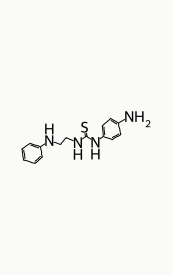 Nc1ccc(NC(=S)NCCNc2ccccc2)cc1